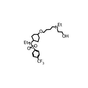 CCN(CCO)CCCCOC1CCC(N(CC)S(=O)(=O)c2ccc(C(F)(F)F)cc2)CC1